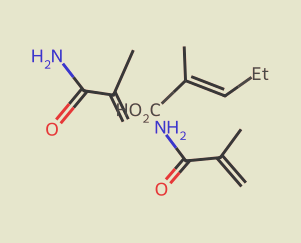 C=C(C)C(N)=O.C=C(C)C(N)=O.CC/C=C(\C)C(=O)O